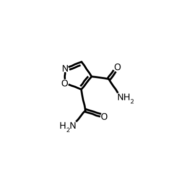 NC(=O)c1cnoc1C(N)=O